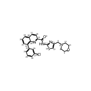 O=C(Nc1nc(CN2CCOCC2)cs1)c1ccc2cccc(-c3cccc(Cl)c3)c2n1